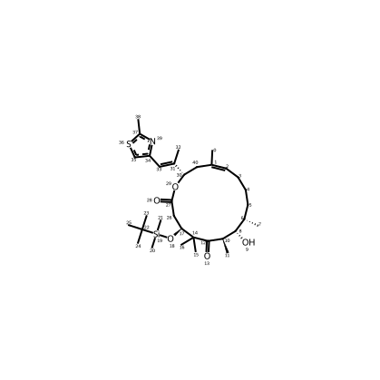 C/C1=C/CCC[C@H](C)[C@H](O)[C@@H](C)C(=O)C(C)(C)[C@@H](O[Si](C)(C)C(C)(C)C)CC(=O)O[C@H](/C(C)=C/c2csc(C)n2)C1